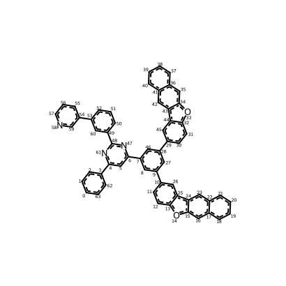 c1ccc(-c2cc(-c3cc(-c4ccc5oc6cc7ccccc7cc6c5c4)cc(-c4ccc5oc6cc7ccccc7cc6c5c4)c3)nc(-c3cccc(-c4cccnc4)c3)n2)cc1